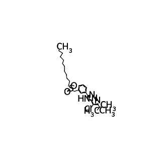 CCCCCCCCCCCCS(=O)(=O)Cc1cccc(-c2nn3nc(C(C)(C)C)c(Cl)c3[nH]2)c1